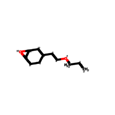 CC[SiH2]OCCC1CCC2OC2C1